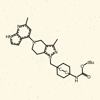 Cc1cc(N2CCc3c(c(C)nn3CC34CCC(NC(=O)OC(C)(C)C)(CC3)CC4)C2)c2cc[nH]c2n1